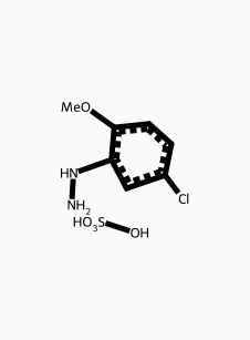 COc1ccc(Cl)cc1NN.O=S(=O)(O)O